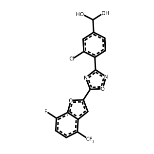 OC(O)c1ccc(-c2noc(-c3cc4c(C(F)(F)F)ccc(F)c4o3)n2)c(Cl)c1